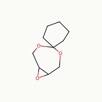 C1CCC2(CC1)OCC1OC1CO2